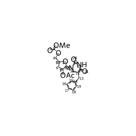 COC(=O)OC[C@@H]1C[C@@H](OC(C)=O)[C@H](n2cc(Cc3ccccc3)c(=O)[nH]c2=O)O1